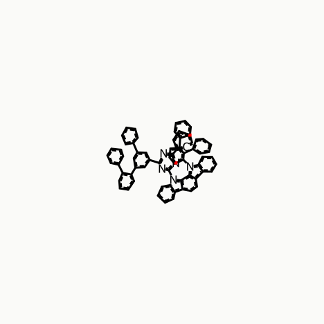 c1ccc(-c2cc(-c3nc(-c4ccccc4)nc(-n4c5ccccc5c5ccc6c7ccccc7n(-c7cccc(-c8ccccc8)c7-c7ccccc7)c6c54)n3)cc(-c3ccccc3-c3ccccc3)c2)cc1